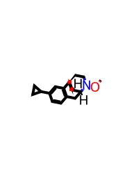 CON1CC[C@]23CCCC[C@H]2[C@H]1Cc1ccc(C2CC2)cc13